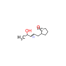 CC(O)/C=C/CC1CCC[13C]1=O